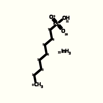 CCCCCCCCS(=O)(=O)O.[InH3]